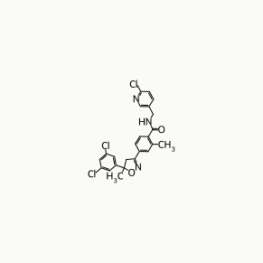 Cc1cc(C2=NOC(C)(c3cc(Cl)cc(Cl)c3)C2)ccc1C(=O)NCc1ccc(Cl)nc1